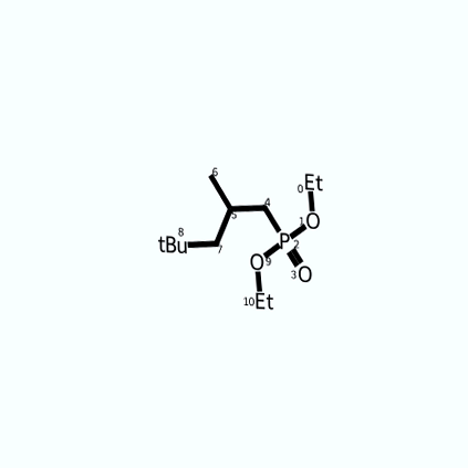 CCOP(=O)(CC(C)CC(C)(C)C)OCC